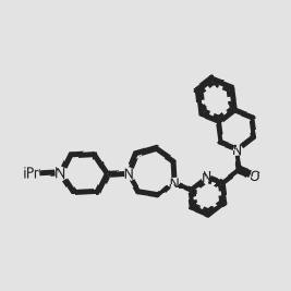 CC(C)N1CCC(N2CCCN(c3cccc(C(=O)N4CCc5ccccc5C4)n3)CC2)CC1